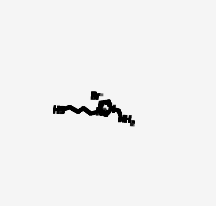 NCn1cc[n+](CCCCS)c1.[Br-]